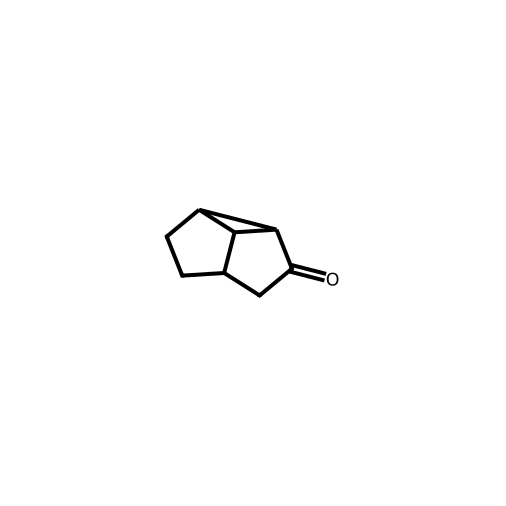 O=C1CC2CCC3C1C23